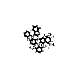 Cc1ccccc1N1c2cccc3c2B(c2cc4c(cc2N3c2c(C)cccc2C)C(C)(C)CCC4(C)C)c2sc3ccccc3c21